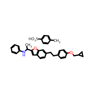 CC(Nc1ccccc1)c1cc2ccc(CCc3ccc(OCC4CC4)cc3)cc2o1.Cc1ccc(S(=O)(=O)O)cc1